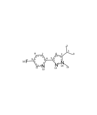 CC(C)c1cc(-c2ccc(F)cn2)nn1C